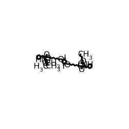 CCCCOC(=O)NC(Cc1ccccc1)C(=O)OCCCCCCOc1cc(I)c(OCCCCCCOC(=O)C(Cc2ccccc2)NC(=O)OC(C)(C)C)cc1I